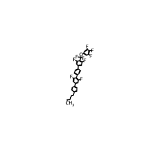 CCCCCc1ccc(-c2cc(F)c(-c3ccc(-c4cc(F)c(C(F)(F)Oc5cc(F)c(F)c(F)c5)c(F)c4)cc3)c(F)c2)cc1